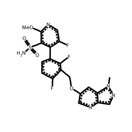 COc1ncc(F)c(-c2ccc(F)c(COc3cnc4cnn(C)c4c3)c2F)c1S(N)(=O)=O